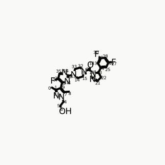 Cc1nn(CCO)c(C)c1-c1nc(N2CCN(C(=O)N3N=CCC3c3cc(F)cc(F)c3)CC2)ncc1F